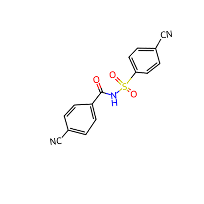 N#Cc1ccc(C(=O)NS(=O)(=O)c2ccc(C#N)cc2)cc1